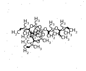 C=C[Si](C)(C)C(CC)O[Si](C)(C)O[Si](C)(OC(=C)[Si](C)(C)OC(CC)[Si](C)(C)C=C)O[Si](C)(C)OC(CC)[Si](C)(C)C=C